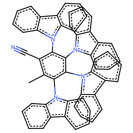 Cc1c(C#N)c(-n2c3ccccc3c3ccccc32)c(-n2c3ccccc3c3ccccc32)c(-n2c3ccccc3c3ccccc32)c1-n1c2ccccc2c2ccccc21